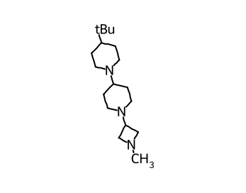 CN1CC(N2CCC(N3CCC(C(C)(C)C)CC3)CC2)C1